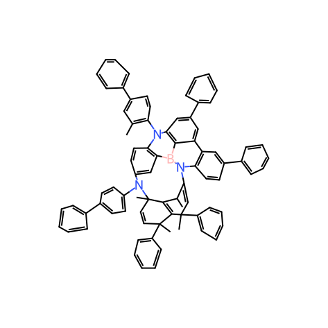 Cc1cc(-c2ccccc2)ccc1N1c2ccc3cc2B2c4c(cc(-c5ccccc5)cc41)-c1cc(-c4ccccc4)ccc1N2C1=CC(C)(c2ccccc2)C2=C(C1C)C(C)(C=CC2(C)c1ccccc1)N3c1ccc(-c2ccccc2)cc1